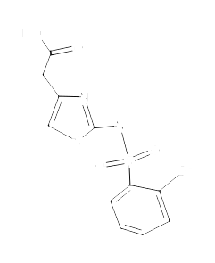 O=C(O)Cc1csc(NS(=O)(=O)c2ccccc2Br)n1